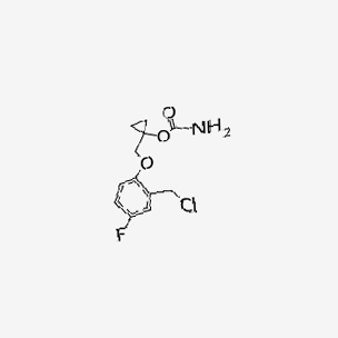 NC(=O)OC1(COc2ccc(F)cc2CCl)CC1